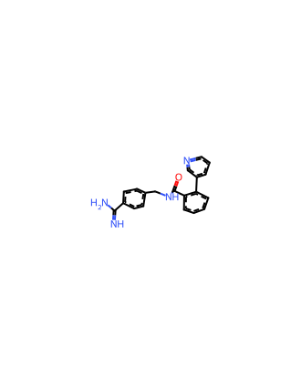 N=C(N)c1ccc(CNC(=O)c2ccccc2-c2cccnc2)cc1